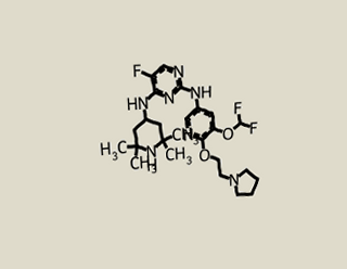 CC1(C)CC(Nc2nc(Nc3cnc(OCCN4CCCC4)c(OC(F)F)c3)ncc2F)CC(C)(C)N1